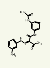 CC(=O)/C(=N/Nc1cccc(N)c1)C(=O)Nc1cccc(NC(N)=O)c1